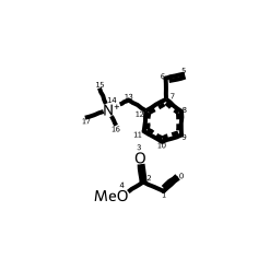 C=CC(=O)OC.C=Cc1ccccc1C[N+](C)(C)C